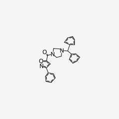 O=C(c1cc(-c2ccccc2)no1)N1CCN(C(c2ccccc2)c2ccccc2)CC1